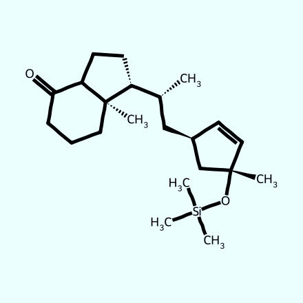 C[C@H](C[C@H]1C=C[C@](C)(O[Si](C)(C)C)C1)[C@H]1CCC2C(=O)CCC[C@@]21C